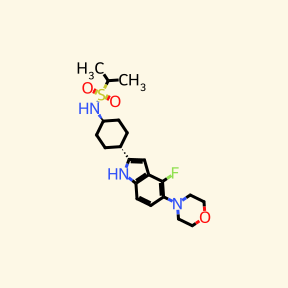 CC(C)S(=O)(=O)N[C@H]1CC[C@H](c2cc3c(F)c(N4CCOCC4)ccc3[nH]2)CC1